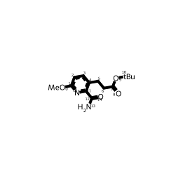 COc1ccc(CCC(=O)OC(C)(C)C)c(C(N)=O)n1